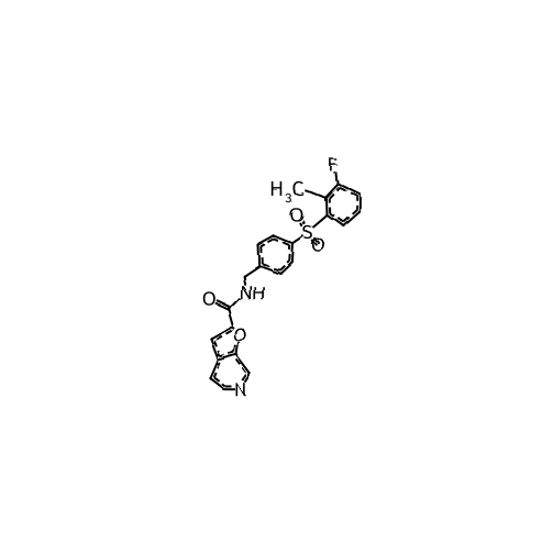 Cc1c(F)cccc1S(=O)(=O)c1ccc(CNC(=O)c2cc3ccncc3o2)cc1